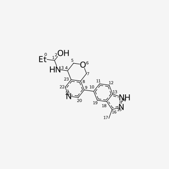 CCC(O)NC1COCc2c(-c3ccc4[nH]nc(C)c4c3)cncc21